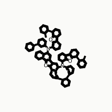 Cc1ccccc1-c1cccc2c1oc1c(N(c3cccc(-c4ccccc4)c3)c3cc4c5cc6c7cc(ccc7c5oc4c4ccccc34)-c3ccccc3-c3cccc(c3)N6c3cccc4c3oc3c(-c5ccccc5C)cccc34)cccc12